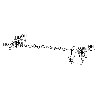 CC(C)[C@H](NC(=O)[C@H](CCC(=O)NCCOCCOCCOCCOCCOCCOCCOCCOCCOCCOCCOCCOCCN(C[C@H](O)[C@@H](O)[C@H](O)[C@H](O)CO)C[C@H](O)[C@@H](O)[C@H](O)[C@H](O)CO)NC(=O)CCCCCN1C(=O)C=CC1=O)C(=O)N[C@@H](CCCNC(N)=O)C(=O)Nc1ccc(CO)cc1